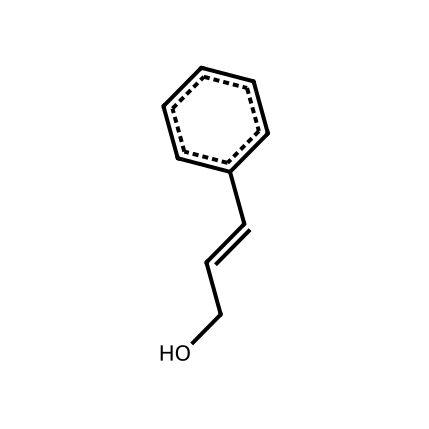 OCC=Cc1ccccc1